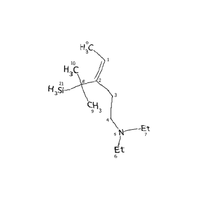 CC=C(CCN(CC)CC)C(C)(C)[SiH3]